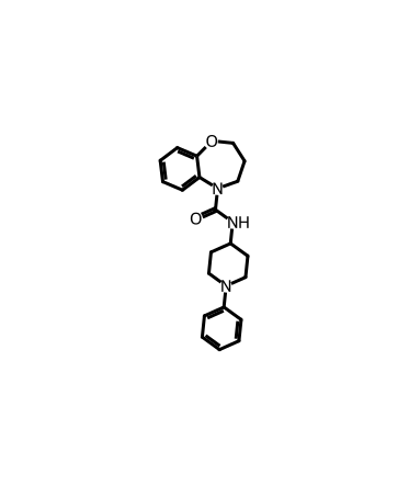 O=C(NC1CCN(c2ccccc2)CC1)N1CCCOc2ccccc21